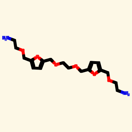 NCCOCc1ccc(COCCOCc2ccc(COCCN)o2)o1